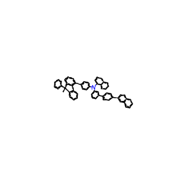 CC1(c2ccccc2)c2ccccc2-c2c(-c3ccc(N(c4cccc(-c5ccc(-c6ccc7ccccc7c6)cc5)c4)c4cccc5ccccc45)cc3)cccc21